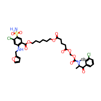 CC(C(=O)c1cccc(Cl)c1)N(C(=O)OCOC(=O)CCCC(=O)OCCCCCCOC(=O)c1cc(S(N)(=O)=O)c(Cl)cc1NCc1ccco1)C(C)(C)C